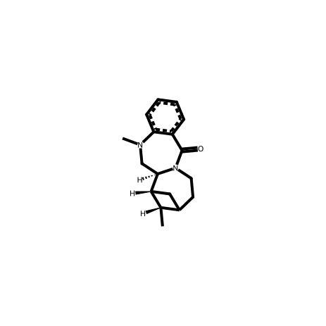 C[C@H]1C2CCN3C(=O)c4ccccc4N(C)C[C@@H]3[C@@H]1C2